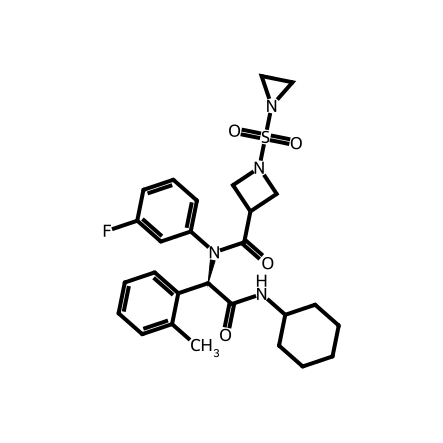 Cc1ccccc1[C@H](C(=O)NC1CCCCC1)N(C(=O)C1CN(S(=O)(=O)N2CC2)C1)c1cccc(F)c1